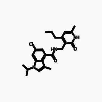 CCCc1cc(C)[nH]c(=O)c1CNC(=O)c1cc(Cl)cc2c1c(C)cn2C(C)C